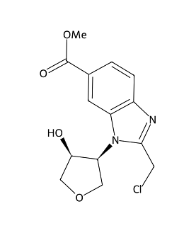 COC(=O)c1ccc2nc(CCl)n([C@H]3COC[C@H]3O)c2c1